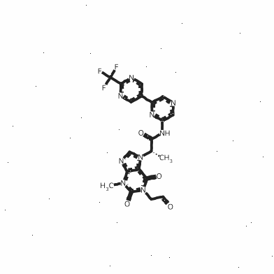 C[C@@H](C(=O)Nc1cncc(-c2cnc(C(F)(F)F)nc2)n1)n1cnc2c1c(=O)n(CC=O)c(=O)n2C